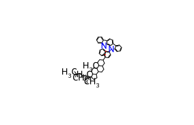 CC(C)CCC[C@@H](C)C1CCC2C3CCC4CC(c5ccc(-n6c7ccccc7c7ccc8c9ccccc9n(-c9ccccc9)c8c76)cc5)CCC4(C)C3CCC21C